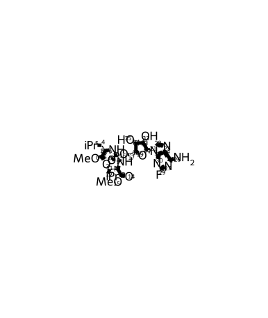 COC(=O)[C@H](CC(C)C)NP(=O)(N[C@@H](CC(C)C)C(=O)OC)OC[C@H]1O[C@@H](n2cnc3c(N)nc(F)nc32)[C@@H](O)[C@@H]1O